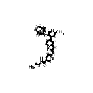 Cc1cc(-c2ccn3nc(Nc4ccc(C(=O)NCCO)cn4)cc3c2)c(OC2C[C@H]3COC[C@@H](C2)N3)cn1